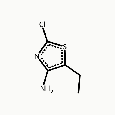 CCc1sc(Cl)nc1N